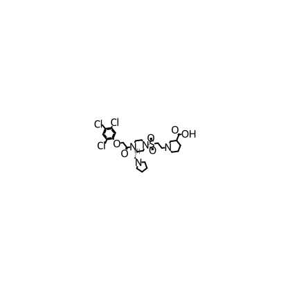 O=C(O)C1CCCN(CCS(=O)(=O)N2CCN(C(=O)COc3cc(Cl)c(Cl)cc3Cl)[C@@H](CN3CCCC3)C2)C1